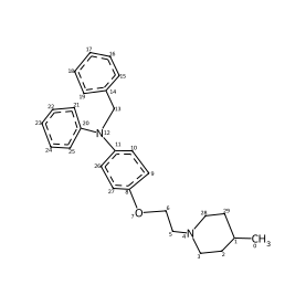 CC1CCN(CCOc2ccc(N(Cc3ccccc3)c3ccccc3)cc2)CC1